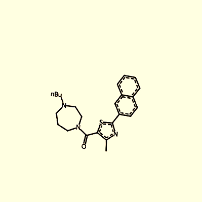 CCCCN1CCCN(C(=O)c2sc(-c3ccc4ccccc4c3)nc2C)CC1